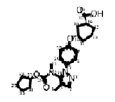 Cc1cnn(-c2ccc(O[C@H]3CCC[C@H](C(=O)O)C3)cc2)c1N(C)C(=O)OC1CCCC1